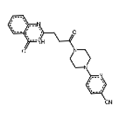 N#Cc1ccc(N2CCN(C(=O)CCc3nc4ccccc4c(=O)[nH]3)CC2)nc1